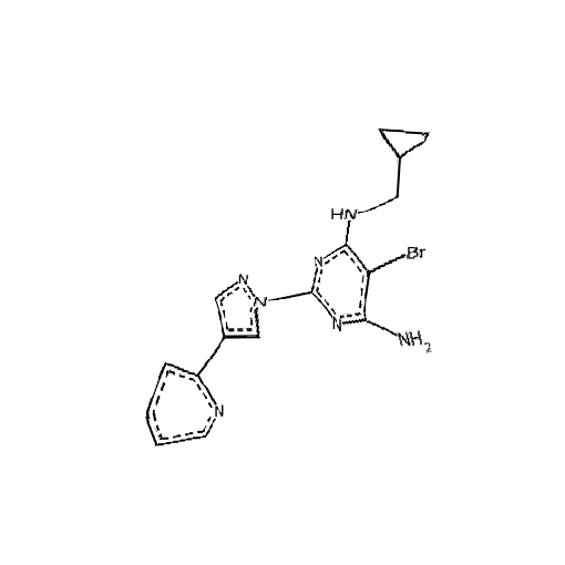 Nc1nc(-n2cc(-c3ccccn3)cn2)nc(NCC2CC2)c1Br